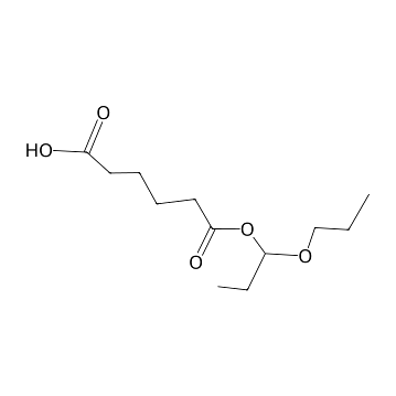 CCCOC(CC)OC(=O)CCCCC(=O)O